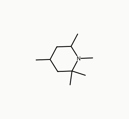 CC1CC(C)N(C)C(C)(C)C1